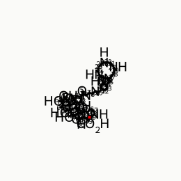 CCC1CC(C(=O)NCCNCc2ccc(CN3CCCNCCNCCCNCC3)c(Br)c2)CC(OC2OC(CO)C(O)C(O[C@@H](CC3CC3)C(=O)O)C2NC(=O)C2CCNCC2)C1OC1OC(C)C(O)C(O)C1O